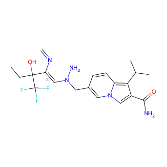 C=N/C(=C\N(N)Cc1ccc2c(C(C)C)c(C(N)=O)cn2c1)C(O)(CC)C(F)(F)F